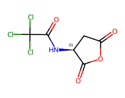 O=C1C[C@H](NC(=O)C(Cl)(Cl)Cl)C(=O)O1